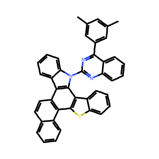 Cc1cc(C)cc(-c2nc(-n3c4ccccc4c4c5ccc6ccccc6c5c5sc6ccccc6c5c43)nc3ccccc23)c1